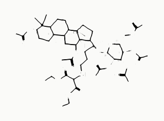 CCOC(=O)C(NCCC[C@](C)(O[C@H]1O[C@H](COC(C)=O)[C@@H](OC(C)=O)[C@H](OC(C)=O)[C@H]1OC(C)=O)C1CC[C@]2(C)[C@@H]1C(OC(C)=O)CC1[C@@]3(C)CC[C@H](OC(C)=O)C(C)(C)C3CC[C@]12C)C(=O)OCC